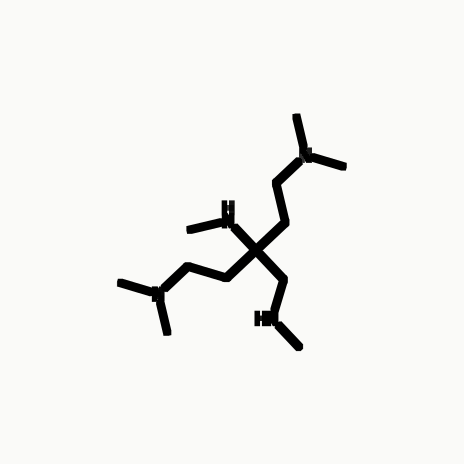 CNCC(CCN(C)C)(CCN(C)C)NC